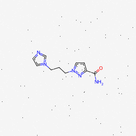 NC(=O)c1ccn(CCCn2ccnc2)n1